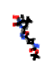 CC(C)(C)OC(=O)N[C@H]1C[C@@H](c2nnc([C@@H]3CC4(CC4)[C@H]4CN3C(=O)N4O)o2)C1